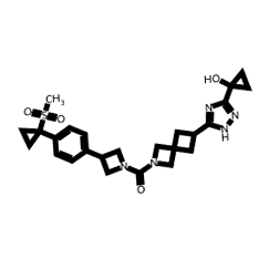 CS(=O)(=O)C1(c2ccc(C3CN(C(=O)N4CC5(CC(c6nc(C7(O)CC7)n[nH]6)C5)C4)C3)cc2)CC1